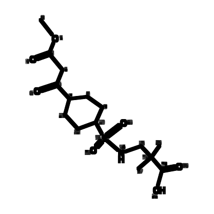 COC(=O)CC(=O)C1CCC(S(=O)(=O)NCC(C)(C)C(=O)O)CC1